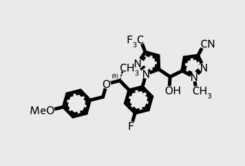 COc1ccc(CO[C@H](C)c2cc(F)ccc2-n2nc(C(F)(F)F)cc2C(O)c2cc(C#N)nn2C)cc1